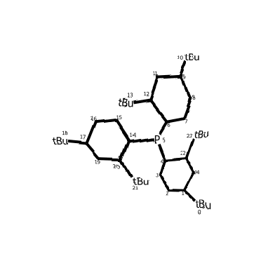 CC(C)(C)C1CCC(P(C2CCC(C(C)(C)C)CC2C(C)(C)C)C2CCC(C(C)(C)C)CC2C(C)(C)C)C(C(C)(C)C)C1